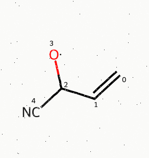 C=CC([O])C#N